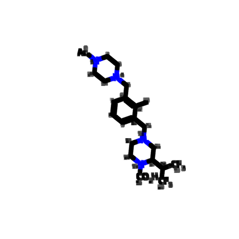 CC(=O)N1CCN(Cc2cccc(CN3CCN(C(=O)O)C(C(C(F)(F)F)C(F)(F)F)C3)c2C)CC1